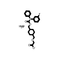 O.O=C([O-])COCC1CCC(COC(=O)N(c2ccccc2)c2cccc(F)c2)CC1.[Na+]